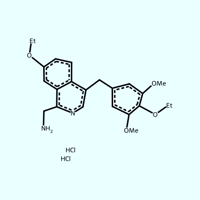 CCOc1ccc2c(Cc3cc(OC)c(OCC)c(OC)c3)cnc(CN)c2c1.Cl.Cl